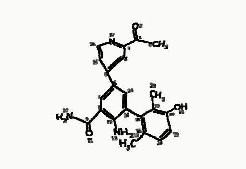 CC(=O)c1cc(-c2cc(C(N)=O)c(N)c(-c3c(C)ccc(O)c3C)c2)ccn1